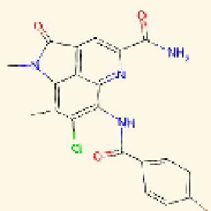 Cc1c(Cl)c(NC(=O)c2ccc(Br)cc2)c2nc(C(N)=O)cc3c2c1N(C)C3=O